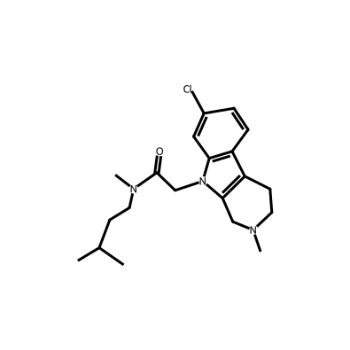 CC(C)CCN(C)C(=O)Cn1c2c(c3ccc(Cl)cc31)CCN(C)C2